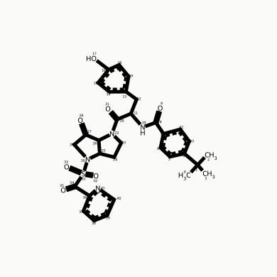 CC(C)(C)c1ccc(C(=O)NC(Cc2ccc(O)cc2)C(=O)N2CCC3C2C(=O)CN3S(=O)(=O)C(=O)c2ccccn2)cc1